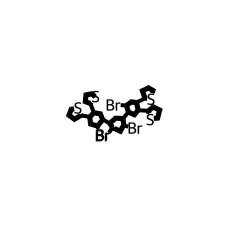 Brc1cc(Br)c(-c2cc(-c3cccs3)c(-c3cccs3)cc2Br)cc1-c1cc(-c2cccs2)c(-c2cccs2)cc1Br